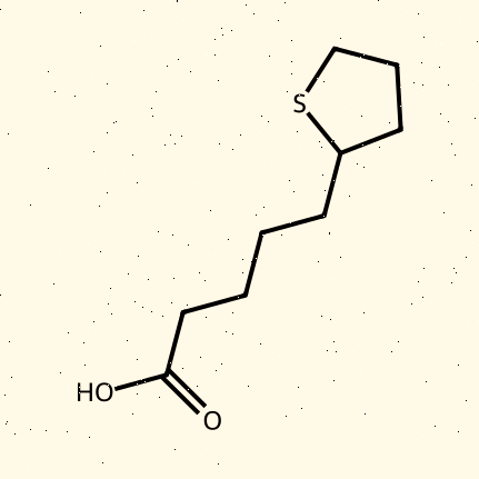 O=C(O)CCCCC1CCCS1